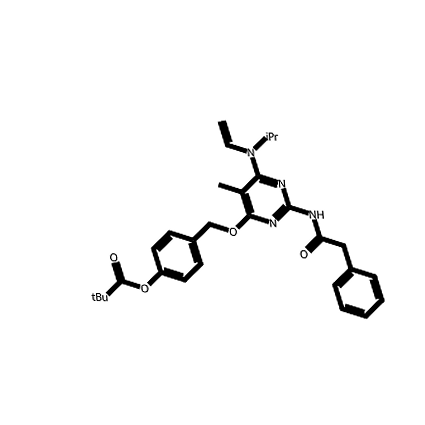 C=CN(c1nc(NC(=O)Cc2ccccc2)nc(OCc2ccc(OC(=O)C(C)(C)C)cc2)c1C)C(C)C